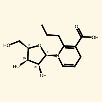 CCCC1=C(C(=O)O)CC=CN1[C@@H]1O[C@H](CO)[C@H](O)[C@@H]1O